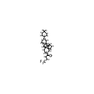 CC1(C)CCC(N2CCN(CC3(O)CCN(C(=O)CCC(F)(F)F)CC34CCCC4)C(=O)C2)CC1